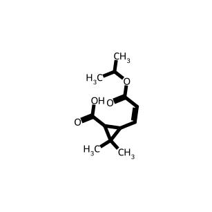 CC(C)OC(=O)/C=C\C1C(C(=O)O)C1(C)C